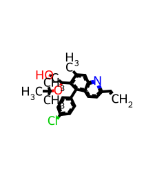 C=Cc1ccc2c(-c3ccc(Cl)cc3)c(C(CO)OC(C)(C)C)c(C)cc2n1